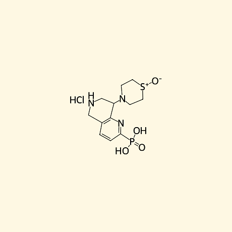 Cl.O=P(O)(O)c1ccc2c(n1)C(N1CC[S+]([O-])CC1)CNC2